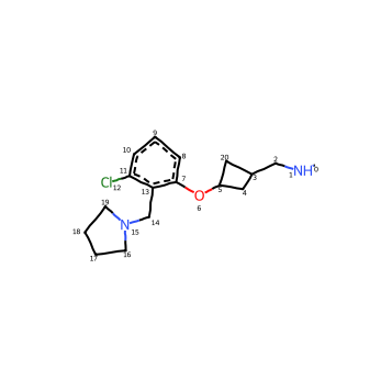 CNCC1CC(Oc2cccc(Cl)c2CN2CCCC2)C1